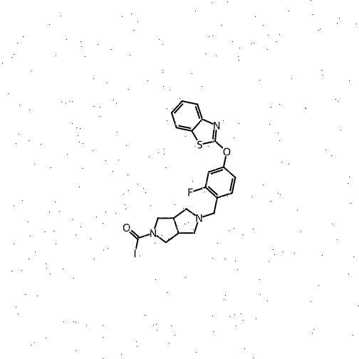 O=C(I)N1CC2CN(Cc3ccc(Oc4nc5ccccc5s4)cc3F)CC2C1